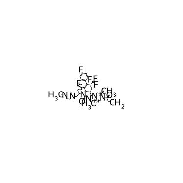 C=CC(=O)N1C[C@H](C)N(c2nc(=O)n3c4c(c(-c5ccc(F)cc5F)c(C(F)(F)F)cc24)SCC3CN2CCN(C)CC2)C[C@H]1C